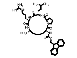 CC(C)=CC[C@@H]1NC(=O)C2CCCN2C(=O)[C@@H](NC(=O)OCC2c3ccccc3-c3ccccc32)CCCC[C@@H](C(=O)O)NC(=O)[C@H](CCCNC(=N)N)NC1=O